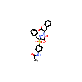 CC(=O)Nc1ccc(S(=O)(=O)[C@@](Cc2ccccc2)(NN[C@@H](Cc2ccccc2)C(=O)O)C(=O)O)cc1